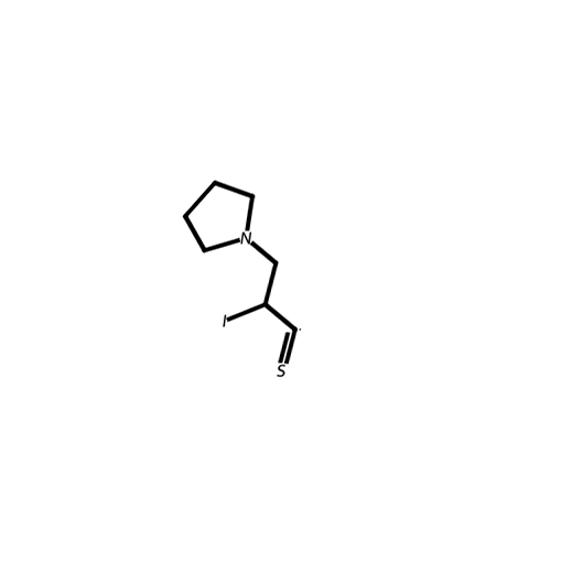 S=[C]C(I)CN1CCCC1